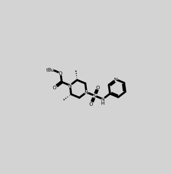 C[C@@H]1CN(S(=O)(=O)Nc2cccnc2)C[C@H](C)N1C(=O)OC(C)(C)C